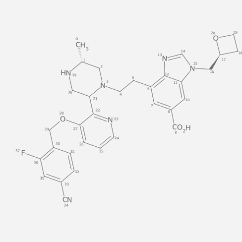 C[C@@H]1CN(CCc2cc(C(=O)O)cc3c2ncn3C[C@@H]2CCO2)C(c2ncccc2OCc2ccc(C#N)cc2F)CN1